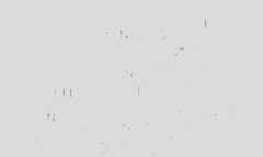 CN1CCCC1COc1ccc2cc(C3CC3)c(-c3ccc(F)c4sc(N)c(C#N)c34)c(F)c2n1